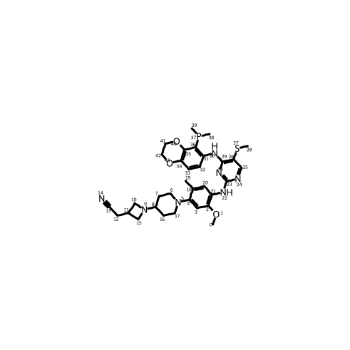 COc1cc(N2CCC(N3CC(CC#N)C3)CC2)c(C)cc1Nc1ncc(SC)c(Nc2ccc3c(c2P(C)C)OCCO3)n1